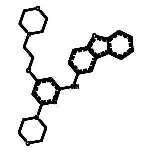 c1ccc2c(c1)oc1ccc(Nc3cc(OCCN4CCOCC4)cc(N4CCOCC4)n3)cc12